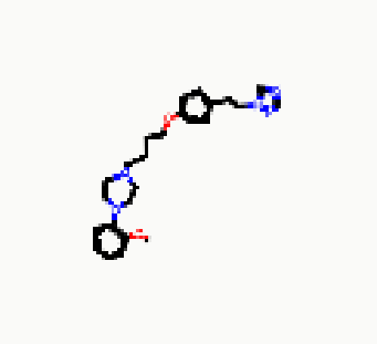 COc1ccccc1N1CCN(CCCCOc2ccc(CCn3cncn3)cc2)CC1